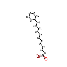 O=C(Br)CCCCCCCCCCCC1CCCCC1